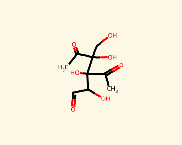 CC(=O)C(O)(CO)C(O)(C(C)=O)C(O)C=O